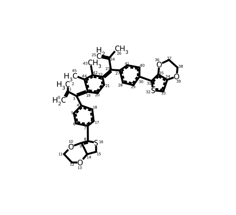 C=C(C)/C(c1ccc(C2=C3OCCOC3CS2)cc1)=c1/cc/c(=C(/C(=C)C)c2ccc(-c3scc4c3OCCO4)cc2)c(C)c1C